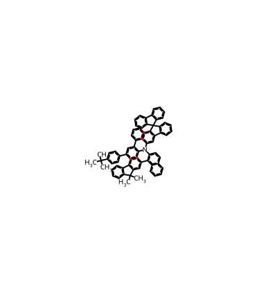 CC(C)(C)c1ccc(-c2ccc(N(c3ccc4c(c3)-c3ccccc3C43c4ccccc4-c4ccccc43)c3ccc4ccccc4c3-c3ccc4c(c3)C(C)(C)c3ccccc3-4)c(-c3ccccc3)c2)cc1